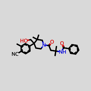 Cc1cc(C2(CO)CCN(C(=O)CC(C)(C)NC(=O)c3ccccc3)CC2(C)C)ccc1C#N